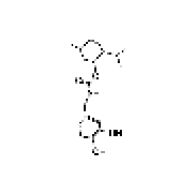 CC1CCC(C(C)C)C(OC(=O)NCc2ccc(O)c(O)c2)C1